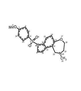 COc1ccc(S(=O)(=O)n2ccc3c4c(ccc32)OCCN(C)C4)cc1